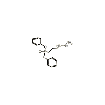 NNBCCCP(=O)(Oc1ccccc1)Oc1ccccc1